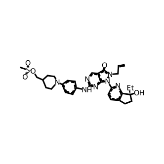 C=CCn1c(=O)c2cnc(Nc3ccc(N4CCC(COS(C)(=O)=O)CC4)cc3)nc2n1-c1ccc2c(n1)[C@@](O)(CC)CC2